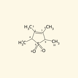 CC1=C(C)C(C)S(=O)(=O)C1C